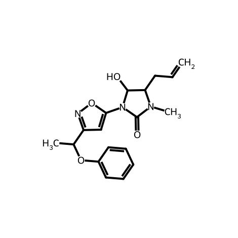 C=CCC1C(O)N(c2cc(C(C)Oc3ccccc3)no2)C(=O)N1C